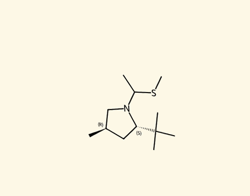 CSC(C)N1C[C@H](C)C[C@H]1C(C)(C)C